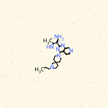 CCCN1CCC2(CCN(c3nc(/C(=C/N)C(C)=N)nc4cnccc34)CC2)C1